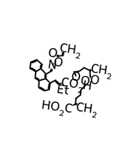 C=C(CCCCOC(=O)C(=C)CC1CO1)C(=O)O.C=CC(=O)ON=Cc1c2ccccc2cc2cccc(C=C(CC)C(=O)O)c12